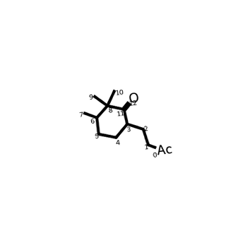 CC(=O)CCC1CCC(C)C(C)(C)C1=O